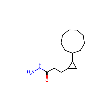 NNC(=O)CCC1CC1C1CCCCCCCC1